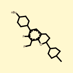 CCCCC1CCC(c2cc3c(c(CF)c2F)OC(C2CCC(C)CC2)CC3)CC1